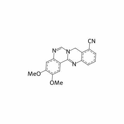 COc1cc2c(cc1OC)C1=Nc3cccc(C#N)c3CN1C=N2